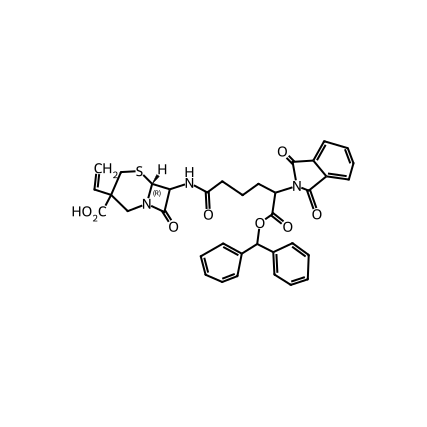 C=CC1(C(=O)O)CS[C@@H]2C(NC(=O)CCCC(C(=O)OC(c3ccccc3)c3ccccc3)N3C(=O)c4ccccc4C3=O)C(=O)N2C1